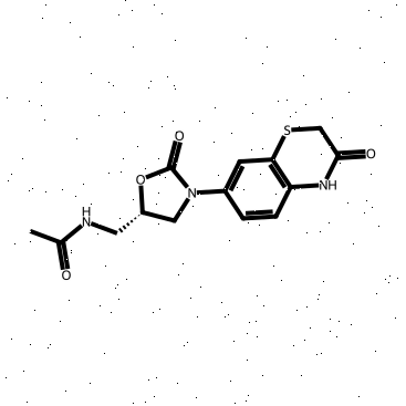 CC(=O)NC[C@H]1CN(c2ccc3c(c2)SCC(=O)N3)C(=O)O1